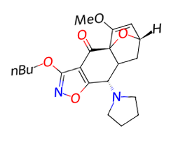 CCCCOc1noc2c1C(=O)[C@]13O[C@H](C=C1OC)CC3[C@@H]2N1CCCC1